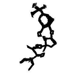 CCN(CC)C(=O)C(C)OC1(C)CC=C(Oc2ccc(C(F)(F)F)cc2Cl)S1